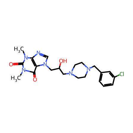 Cn1c(=O)c2c(ncn2CC(O)CN2CCN(Cc3cccc(Cl)c3)CC2)n(C)c1=O